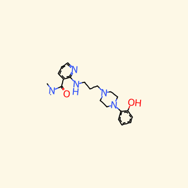 CN(C)C(=O)c1cccnc1NCCCN1CCN(c2ccccc2O)CC1